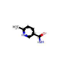 Cc1ccc(C([NH])=O)cn1